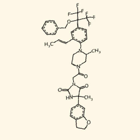 CC=Cc1cc(C(OCc2ccccc2)(C(F)(F)F)C(F)(F)F)ccc1N1CCN(C(=O)CN2C(=O)NC(C)(c3ccc4c(c3)OCC4)C2=O)CC1C